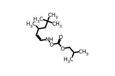 CC(C)COC(=O)ON/C=C\C(C)CC(C)(C)C